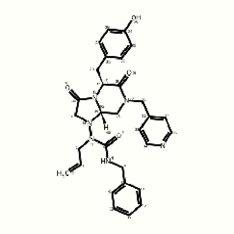 C=CCN(C(=O)NCc1ccccc1)N1CC(=O)N2[C@@H](Cc3ccc(O)cc3)C(=O)N(Cc3ccncc3)C[C@@H]21